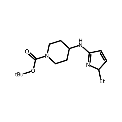 CCC1C=CC(NC2CCN(C(=O)OC(C)(C)C)CC2)=N1